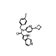 O=C(c1cc2ccncc2[nH]1)N(Cc1ccc(F)cc1)c1ccc(N2CCC2)nc1